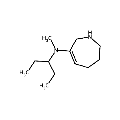 CCC(CC)N(C)C1=CCCCNC1